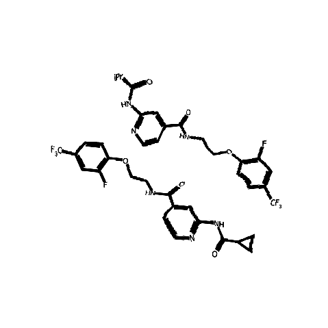 CC(C)C(=O)Nc1cc(C(=O)NCCOc2ccc(C(F)(F)F)cc2F)ccn1.O=C(NCCOc1ccc(C(F)(F)F)cc1F)c1ccnc(NC(=O)C2CC2)c1